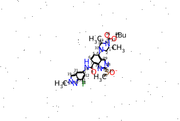 C[C@@H]1CN(c2ccc(C(=O)Nc3cc(F)c4nn(C)cc4c3)c3nc([S+](C)[O-])ncc23)C[C@H](C)N1C(=O)OC(C)(C)C